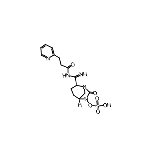 N=C(NC(=O)CCc1ccccn1)[C@@H]1CC[C@@H]2CN1C(=O)N2OS(=O)(=O)O